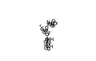 COC(=O)N[C@H](C(=O)N1CCC[C@H]1c1ncc(-c2cc(F)c3c(c2)O[C@@H](c2ccc(C4CC4)s2)n2c-3cc3cc(-c4cnc(CN(C[Si](C)(C)C)C(=O)OC(C)(C)C)[nH]4)ccc32)[nH]1)C(C)C